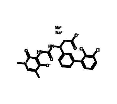 Cc1cn(C)c(=O)c(NC(=O)NC(CC(=O)[O-])c2cccc(-c3cccc(Cl)c3Cl)c2)c1[O-].[Na+].[Na+]